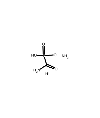 N.NC(=O)P(=O)([O-])O.[H+]